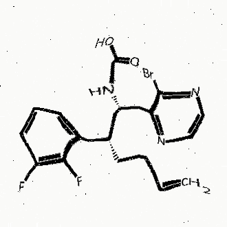 C=CCC[C@H](c1cccc(F)c1F)[C@H](NC(=O)O)c1nccnc1Br